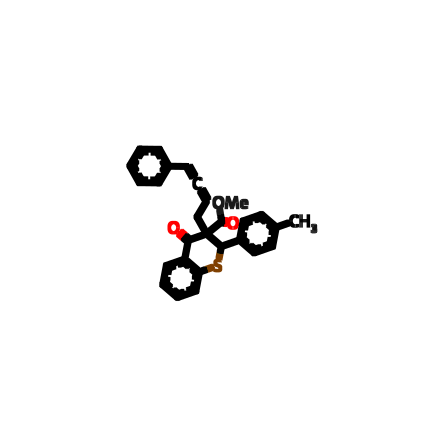 COC(=O)C1(CC=C=Cc2ccccc2)C(=O)c2ccccc2SC1c1ccc(C)cc1